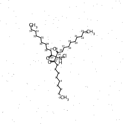 CCCCCCCCCC(=O)C(NCl)(C(=O)CCCCCCCCC)C(=O)CCCCCCCCC